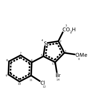 COc1c(C(=O)O)sc(-c2ccccc2Cl)c1Br